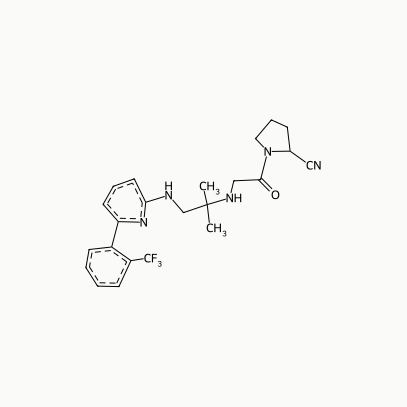 CC(C)(CNc1cccc(-c2ccccc2C(F)(F)F)n1)NCC(=O)N1CCCC1C#N